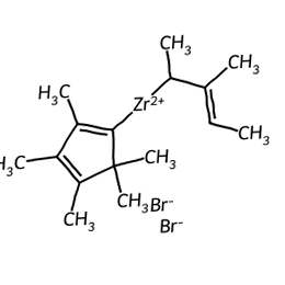 CC=C(C)[CH](C)[Zr+2][C]1=C(C)C(C)=C(C)C1(C)C.[Br-].[Br-]